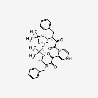 CC(C)(C)ON[C@@H](Cc1ccccc1)C(=O)C(=O)C1=CNC=CN1C(=O)C(=O)[C@H](Cc1ccccc1)NOC(C)(C)C